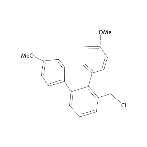 COc1ccc(-c2cccc(CCl)c2-c2ccc(OC)cc2)cc1